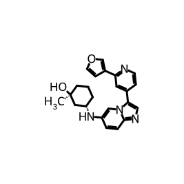 C[C@]1(O)CCC[C@H](Nc2ccc3ncc(-c4ccnc(-c5ccoc5)c4)n3c2)C1